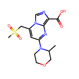 CC1COCCN1c1cc(CS(C)(=O)=O)n2cnc(C(=O)O)c2n1